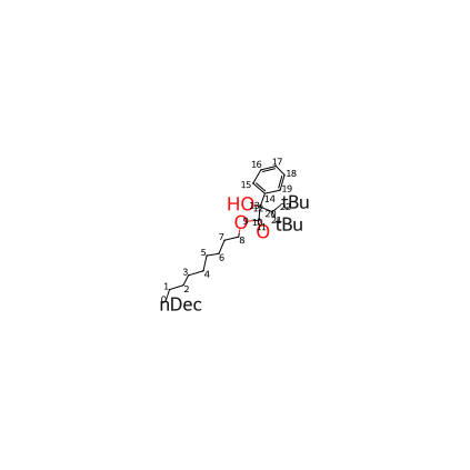 CCCCCCCCCCCCCCCCCCOC(=O)C(O)(c1ccccc1)C(C(C)(C)C)C(C)(C)C